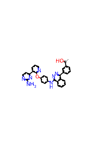 C[C@@H](O)c1cccc(-c2nnc(Nc3ccc(Oc4ncccc4-c4ccnc(N)n4)cc3)c3ccccc23)c1